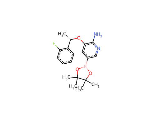 C[C@H](Oc1cc(B2OC(C)(C)C(C)(C)O2)cnc1N)c1ccccc1F